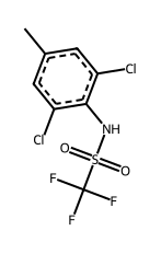 Cc1cc(Cl)c(NS(=O)(=O)C(F)(F)F)c(Cl)c1